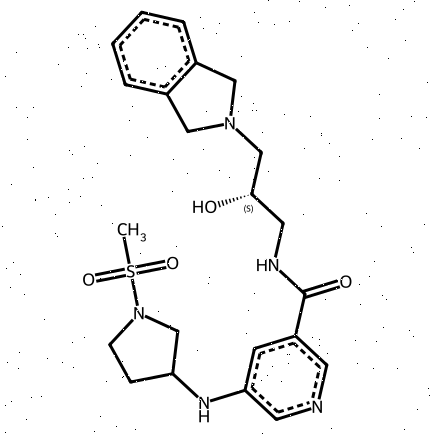 CS(=O)(=O)N1CCC(Nc2cncc(C(=O)NC[C@H](O)CN3Cc4ccccc4C3)c2)C1